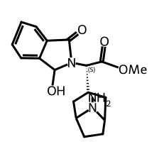 COC(=O)[C@H](C1CC2CCC(C1)N2N)N1C(=O)c2ccccc2C1O